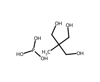 CC(CO)(CO)CO.OP(O)O